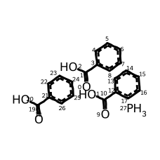 O=C(O)c1ccccc1.O=C(O)c1ccccc1.O=C(O)c1ccccc1.P